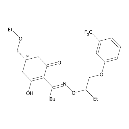 CCOC[C@@H]1CC(=O)C(C(=NOC(CC)COc2cccc(C(F)(F)F)c2)C(C)CC)=C(O)C1